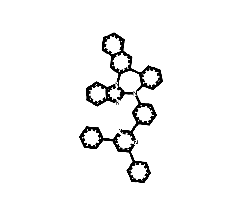 c1ccc(-c2cc(-c3ccccc3)nc(-c3cccc(N4c5ccccc5-c5cc6ccccc6cc5-n5c4nc4ccccc45)c3)n2)cc1